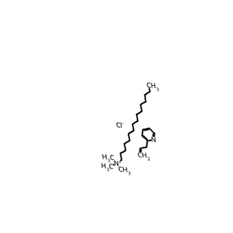 C=CCc1ccccn1.CCCCCCCCCCCCCCCC[N+](C)(C)C.[Cl-]